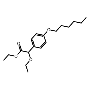 CCCCCCOc1ccc(C(OCC)C(=O)OCC)cc1